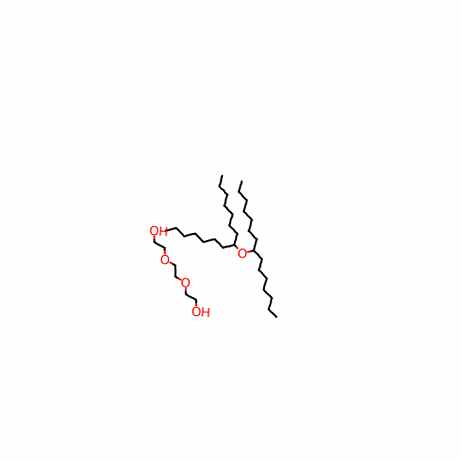 CCCCCCCC(CCCCCCC)OC(CCCCCCC)CCCCCCC.OCCOCCOCCO